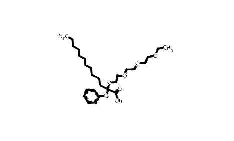 CCCCCCCCCCCC(OCCOCCOCCOCC)(Oc1ccccc1)C(=O)O